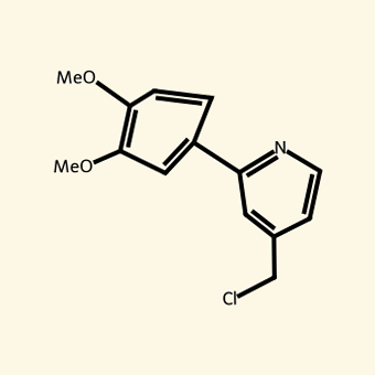 COc1ccc(-c2cc(CCl)ccn2)cc1OC